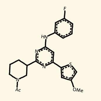 COc1csc(-c2cc(Nc3cccc(F)c3)nc(C3CCCN(C(C)=O)C3)n2)c1